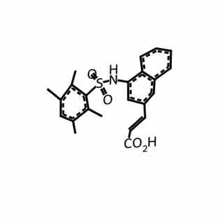 Cc1cc(C)c(C)c(S(=O)(=O)Nc2cc(C=CC(=O)O)cc3ccccc23)c1C